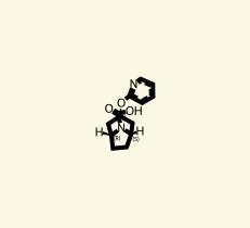 O=C(O)N1[C@@H]2CC[C@H]1C[C@@H](Oc1ccccn1)C2